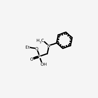 CCOP(=O)(O)CN(C)c1ccccc1